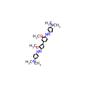 COc1cc(-c2ccc(/N=N/c3ccc(N(C)C)cc3)c(OC)c2)ccc1/N=N/c1ccc(N(C)C)cc1